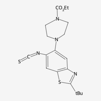 CCOC(=O)N1CCN(c2cc3nc(C(C)(C)C)sc3cc2N=C=S)CC1